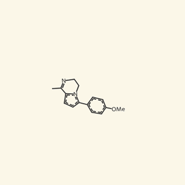 COc1ccc(-c2ccc3n2CCN=C3C)cc1